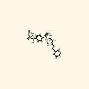 CS(=O)(=O)Nc1ccc(C(=O)C2CCN(CCc3cccnc3)CC2)cc1.Cl.Cl